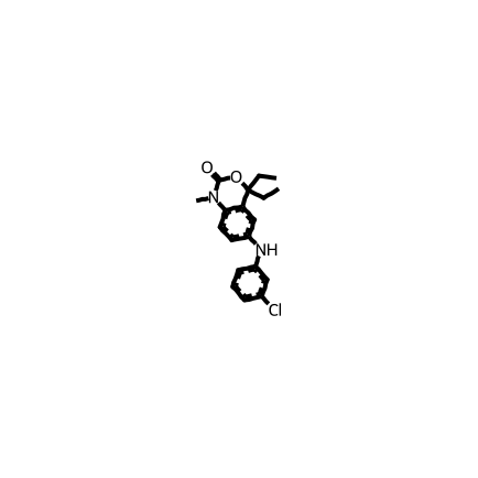 CCC1(CC)OC(=O)N(C)c2ccc(Nc3cccc(Cl)c3)cc21